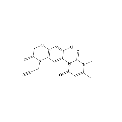 C#CCN1C(=O)COc2cc(Cl)c(-n3c(=O)cc(C)n(C)c3=O)cc21